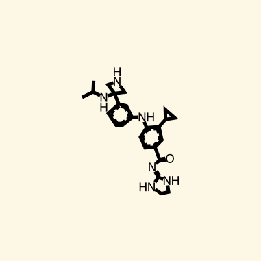 CC(C)NC1(c2cccc(Nc3ccc(C(=O)N=C4NCCN4)cc3C3CC3)c2)CNC1